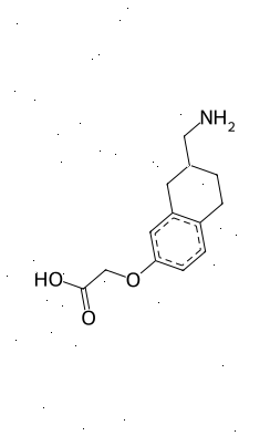 NCC1CCc2ccc(OCC(=O)O)cc2C1